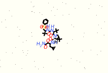 CC(C)(C)C(CS(=O)(=O)c1ccccc1)NC(=O)N[C@H](C(=O)N1CC2[C@@H]([C@H]1C(=O)NC(CC1CC1)C(=O)C(N)=O)C2(C)C)C(C)(C)C